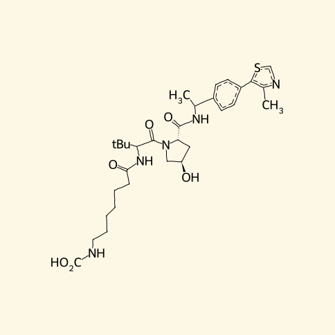 Cc1ncsc1-c1ccc(C(C)NC(=O)[C@@H]2C[C@@H](O)CN2C(=O)C(NC(=O)CCCCCCNC(=O)O)C(C)(C)C)cc1